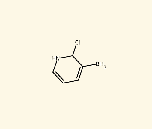 BC1=CC=CNC1Cl